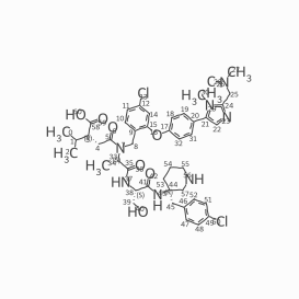 CC(C)[C@@H](CC(=O)N(Cc1ccc(Cl)cc1Oc1ccc(-c2cnc(CN(C)C)n2C)cc1)[C@@H](C)C(=O)N[C@@H](CO)C(=O)N[C@@]1(Cc2ccc(Cl)cc2)CCCNC1)C(=O)O